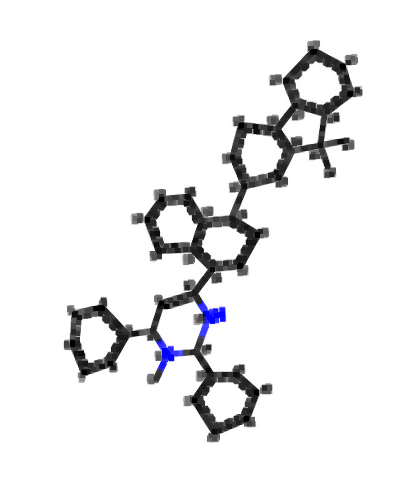 CN1C(c2ccccc2)C=C(c2ccc(-c3ccc4c(c3)C(C)(C)c3ccccc3-4)c3ccccc23)NC1c1ccccc1